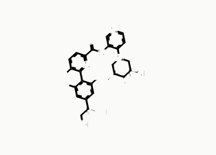 C[C@H]1CN(c2ccncc2NC(=O)c2ccc(F)c(-c3c(F)cc([C@@H](O)CO)cc3F)n2)C[C@@H](N)[C@@H]1O